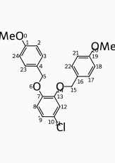 COc1ccc(COc2c[c]c(Cl)cc2OCc2ccc(OC)cc2)cc1